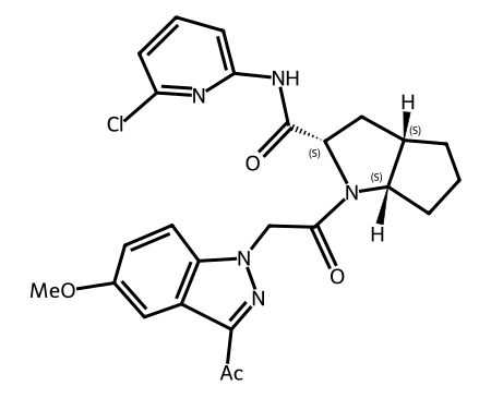 COc1ccc2c(c1)c(C(C)=O)nn2CC(=O)N1[C@H](C(=O)Nc2cccc(Cl)n2)C[C@@H]2CCC[C@@H]21